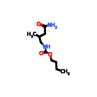 CCCCOC(=O)NCC(C)CC(N)=O